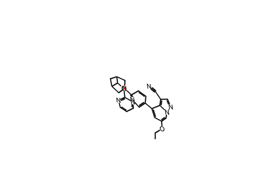 CCOc1cc(-c2ccc(N3CC4CC(C3)C4Oc3ncccn3)nc2)c2c(C#N)cnn2c1